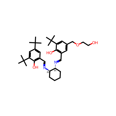 CC(C)(C)c1cc(C=N[C@@H]2CCCC[C@H]2N=Cc2cc(COCCO)cc(C(C)(C)C)c2O)c(O)c(C(C)(C)C)c1